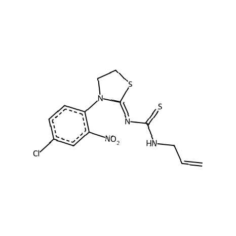 C=CCNC(=S)N=C1SCCN1c1ccc(Cl)cc1[N+](=O)[O-]